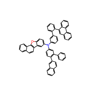 c1ccc(-c2cc(N(c3cccc(-c4ccccc4-c4cc5ccccc5c5ccccc45)c3)c3ccc4oc5c6ccccc6ccc5c4c3)ccc2-c2ccc3ccccc3c2)cc1